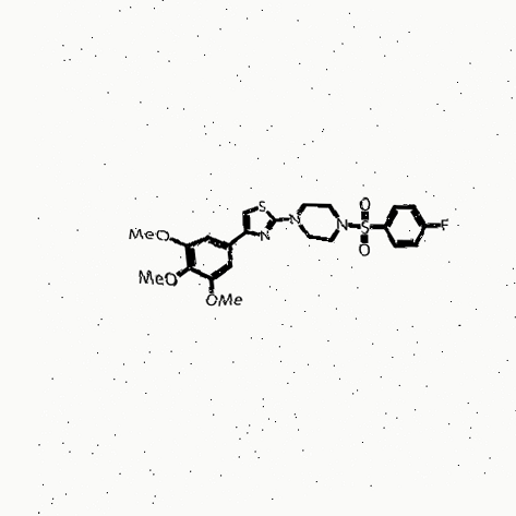 COc1cc(-c2csc(N3CCN(S(=O)(=O)c4ccc(F)cc4)CC3)n2)cc(OC)c1OC